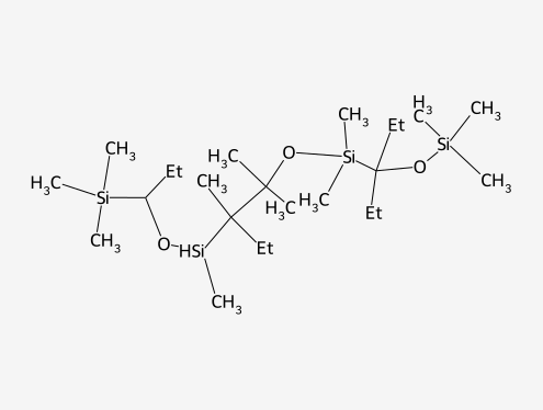 CCC(O[SiH](C)C(C)(CC)C(C)(C)O[Si](C)(C)C(CC)(CC)O[Si](C)(C)C)[Si](C)(C)C